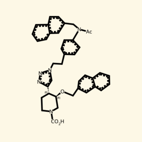 CC(=O)N(Cc1ccc2ccccc2c1)c1ccc(CCn2cc([C@H]3CCN(C(=O)O)C[C@@H]3OCc3ccc4ccccc4c3)nn2)cc1